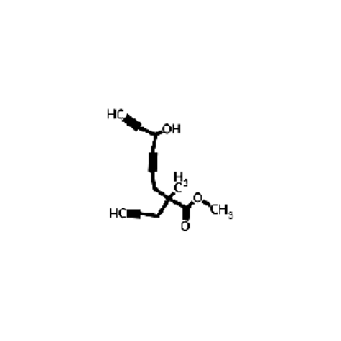 C#CCC(C)(CC#CC(O)C#C)C(=O)OC